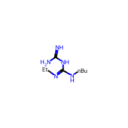 CCCCNC(=NCC)NC(=N)N